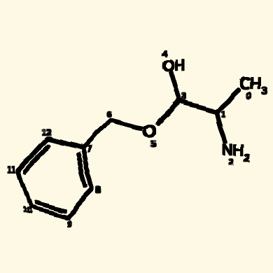 CC(N)C(O)OCc1ccccc1